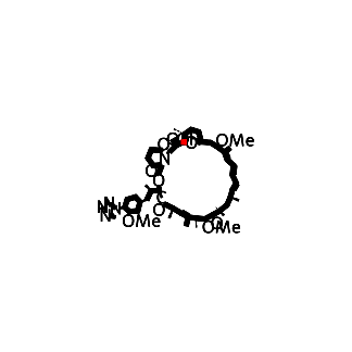 CO[C@H]1CC2CC[C@@H](C)[C@@](O)(O2)C(=O)C(=O)N2CCCCC2C(=O)O[C@H]([C@H](C)C[C@@H]2CC[C@H](n3cnnn3)[C@H](OC)C2)CC(=O)[C@H](C)/C=C(\C)[C@@H](C)[C@@H](OC)C(=O)[C@H](C)C[C@H](C)/C=C/C=C/C=C/1C